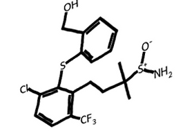 CC(C)(CCc1c(C(F)(F)F)ccc(Cl)c1Sc1ccccc1CO)[S+](N)[O-]